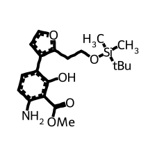 COC(=O)c1c(N)ccc(-c2ccoc2CCO[Si](C)(C)C(C)(C)C)c1O